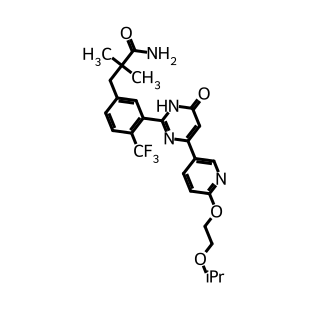 CC(C)OCCOc1ccc(-c2cc(=O)[nH]c(-c3cc(CC(C)(C)C(N)=O)ccc3C(F)(F)F)n2)cn1